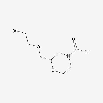 O=C(O)N1CCO[C@H](COCCBr)C1